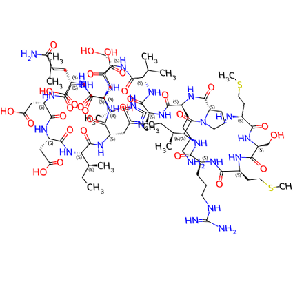 CC[C@H](C)[C@H](NC(=O)[C@H](CC(=O)O)NC(=O)[C@H](CC(=O)O)NC(=O)[C@H](CCC(N)=O)NC(=O)[C@@H](NC(=O)[C@H](CO)NC(=O)[C@@H](NC(=O)[C@H](C)NC(=O)[C@H](CCCCN)NC(=O)[C@@H]1CCCN1C(=O)[C@@H](NC(=O)[C@H](CCCNC(=N)N)NC(=O)[C@H](CCSC)NC(=O)[C@H](CO)NC(=O)[C@@H](N)CCSC)[C@@H](C)CC)C(C)C)[C@@H](C)O)C(=O)N[C@@H](Cc1c[nH]cn1)C(=O)N[C@@H](CCC(=O)O)C(=O)N[C@@H](CC(C)C)C(=O)O